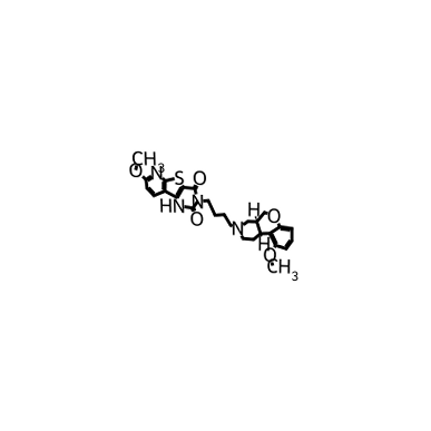 COc1ccc2c(n1)sc1c(=O)n(CCCCN3CC[C@H]4c5c(OC)cccc5OC[C@@H]4C3)c(=O)[nH]c12